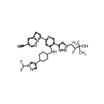 CC(C)(O)C(F)Cn1cc(-c2cnc(-c3ccc4cc(C#N)cnn34)cc2NC2CCC(c3cnn(C(F)F)c3)CC2)nn1